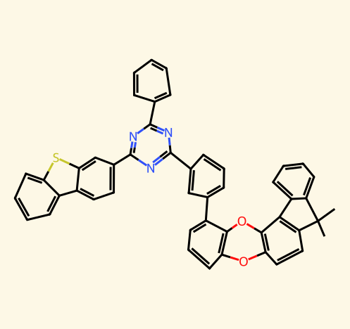 CC1(C)c2ccccc2-c2c1ccc1c2Oc2c(cccc2-c2cccc(-c3nc(-c4ccccc4)nc(-c4ccc5c(c4)sc4ccccc45)n3)c2)O1